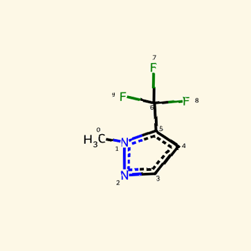 Cn1nc[c]c1C(F)(F)F